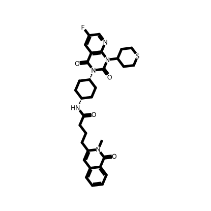 Cn1c(CCCC(=O)N[C@H]2CC[C@@H](n3c(=O)c4cc(F)cnc4n(C4CCSCC4)c3=O)CC2)cc2ccccc2c1=O